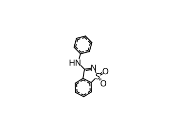 O=S1(=O)N=C(Nc2ccccc2)c2ccccc21